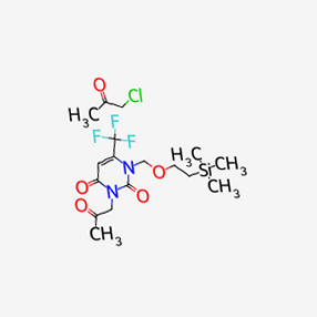 CC(=O)CCl.CC(=O)Cn1c(=O)cc(C(F)(F)F)n(COCC[Si](C)(C)C)c1=O